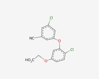 N#Cc1cc(Cl)cc(Oc2cc(OCC(=O)O)ccc2Cl)c1